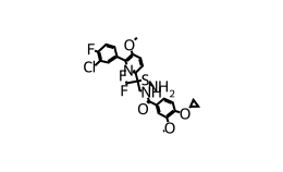 COc1cc(C(=O)NCC(SN)(c2ccc(OC)c(-c3ccc(F)c(Cl)c3)n2)C(F)F)ccc1OC1CC1